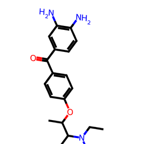 CCN(CC)C(C)C(C)Oc1ccc(C(=O)c2ccc(N)c(N)c2)cc1